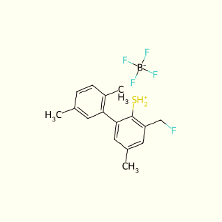 Cc1ccc(C)c(-c2cc(C)cc(CF)c2[SH2+])c1.F[B-](F)(F)F